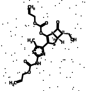 C=CCOC(=O)Nc1nc(C2=C(OC(=O)OCC=C)N3C(=O)[C@H](CO)[C@H]3S2)c(C)s1